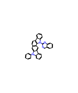 c1ccc(-n2c3ccccc3c3cc4c(ccc5c6ccccc6n(-c6ncc7ccccc7n6)c45)cc32)cc1